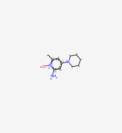 Cc1cc(N2CCCCC2)cc(N)[n+]1[O-]